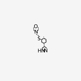 [c]1ccc(-c2cn[nH]c2)cc1SCCN1CCOCC1